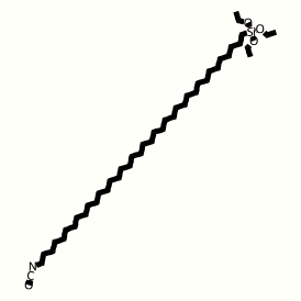 CCO[Si](CCCCCCCCCCCCCCCCCCCCCCCCCCCCCCCCCCCCCCN=C=O)(OCC)OCC